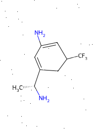 C[C@@H](N)C1=CC(N)=CC(C(F)(F)F)C1